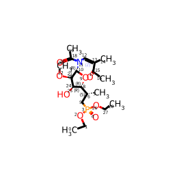 CCOP(=O)(C[C@@H](C)[C@H]1O[C@@H](N(/C=C(/C)C(C)=O)C(C)=O)[C@H](OC)[C@@H]1O)OCC